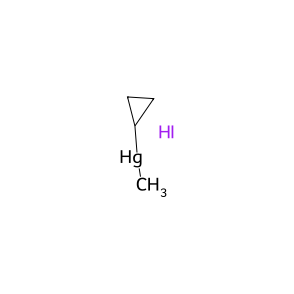 I.[CH3][Hg][CH]1CC1